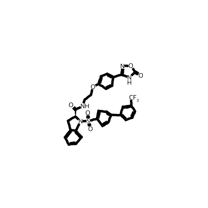 O=C(NCCOc1ccc(-c2noc(=O)[nH]2)cc1)[C@@H]1Cc2ccccc2N1S(=O)(=O)c1ccc(-c2cccc(C(F)(F)F)c2)cc1